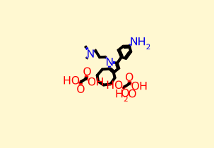 CN(C)CCCn1c(-c2ccc(N)cc2)cc2c1CCCCCC2.O.O=C(O)C(=O)O.O=C(O)C(=O)O